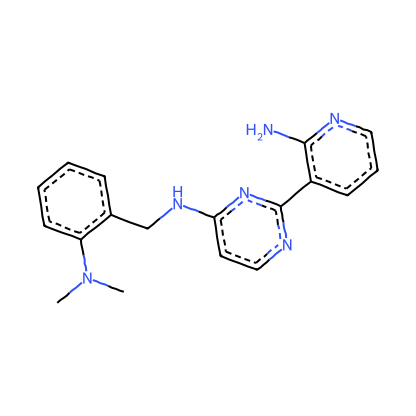 CN(C)c1ccccc1CNc1ccnc(-c2cccnc2N)n1